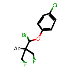 CC(=O)C(CF)(CF)C(Br)Oc1ccc(Cl)cc1